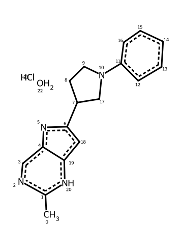 Cc1ncc2nc(C3CCN(c4ccccc4)C3)cc-2[nH]1.Cl.O